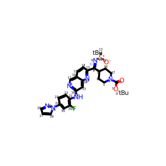 CC(C)(C)OC(=O)N1CCC(/C(=N\[S+]([O-])C(C)(C)C)c2ccc3cnc(Nc4ccc(-n5cccn5)cc4F)cc3n2)CC1